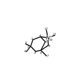 CC1(C)CC2CC(C)(C1)C[N+]2(C)C